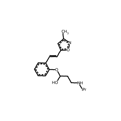 Cc1cc(/C=C/c2ccccc2OC(O)CCNC(C)C)on1